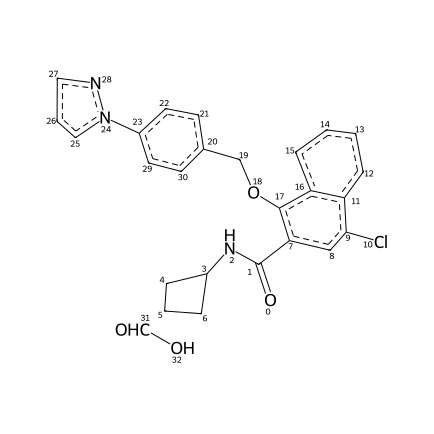 O=C(NC1CCC1)c1cc(Cl)c2ccccc2c1OCc1ccc(-n2cccn2)cc1.O=CO